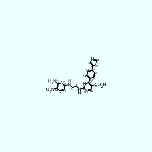 Nc1nc(NCCNc2ncc(C(=O)O)c(-c3ccc(-c4cnco4)cc3)n2)ccc1[N+](=O)[O-]